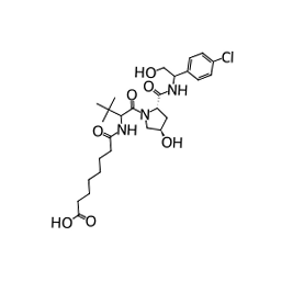 CC(C)(C)C(NC(=O)CCCCCCC(=O)O)C(=O)N1C[C@H](O)C[C@H]1C(=O)NC(CO)c1ccc(Cl)cc1